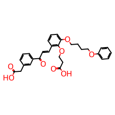 O=C(O)CCOc1c(C=CC(=O)c2cccc(CC(=O)O)c2)cccc1OCCCCOc1ccccc1